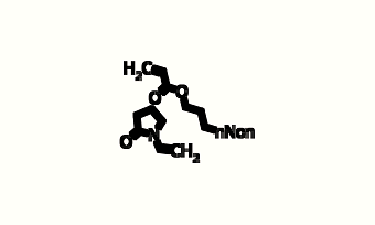 C=CC(=O)OCCCCCCCCCCCC.C=CN1CCCC1=O